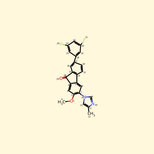 COc1cc2c(cc1-n1cnc(C)c1)-c1ccc(-c3cc(F)cc(F)c3)cc1C2=O